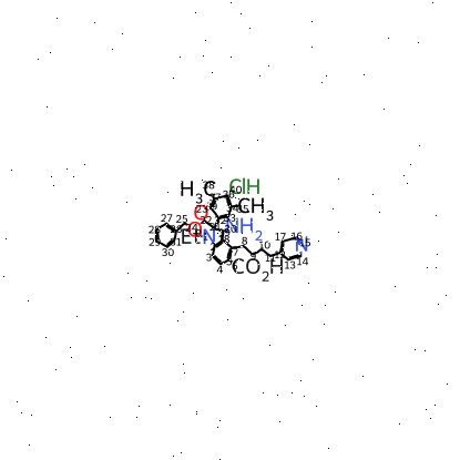 CCN1c2ccc(C(=O)O)c(CCCCc3ccncc3)c2C(N)C1(C(=O)OCc1ccccc1)c1cc(C)cc(C)c1.Cl